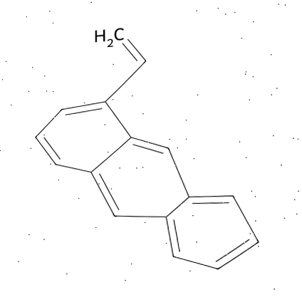 C=Cc1cccc2cc3ccccc3cc12